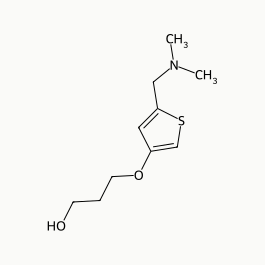 CN(C)Cc1cc(OCCCO)cs1